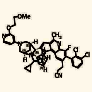 COCCOc1cc(N2C[C@@H]3C[C@H](C2)N(C(=O)C2CC2)[C@H]3c2cc3c(C)nc4c(F)c(-c5cccc(Cl)c5Cl)c(CCC#N)cc4c3n2[C@H]2[C@H]3CN[C@@H]2C3)ccn1